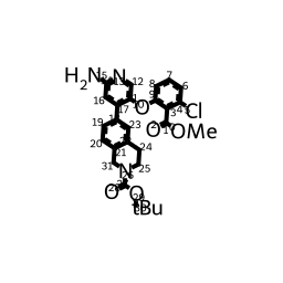 COC(=O)c1c(Cl)cccc1Oc1cnc(N)cc1-c1ccc2c(c1)CCN(C(=O)OC(C)(C)C)C2